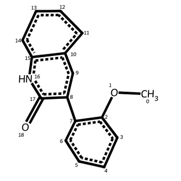 COc1ccccc1-c1cc2ccccc2[nH]c1=O